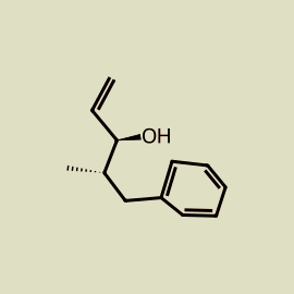 C=C[C@@H](O)[C@@H](C)Cc1ccccc1